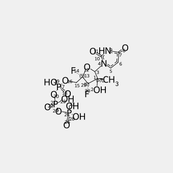 C[C@]1(O)C(n2ccc(=O)[nH]c2=O)O[C@](F)(COP(=O)(O)OP(=O)(O)OP(=O)(O)O)[C@H]1F